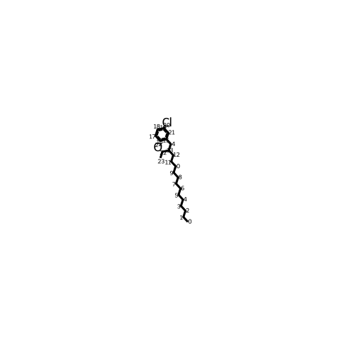 CCCCCCCCCCCCCC(Cc1cccc(Cl)c1)C(C)=O